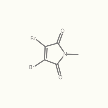 CN1C(=O)C(Br)=C(Br)C1=O